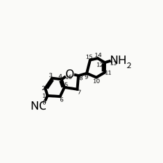 N#CC1C=CC2=C(C1)CC(C1CC=C(N)CC1)O2